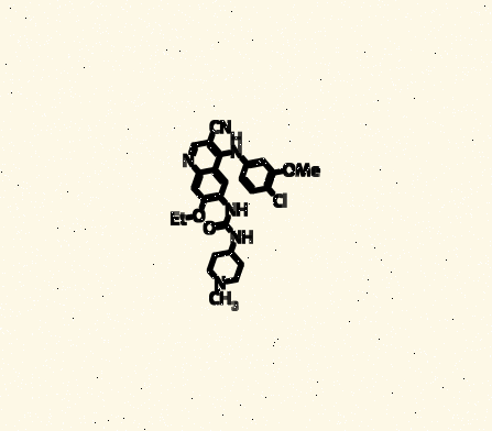 CCOc1cc2ncc(C#N)c(Nc3ccc(Cl)c(OC)c3)c2cc1NC(=O)NC1CCN(C)CC1